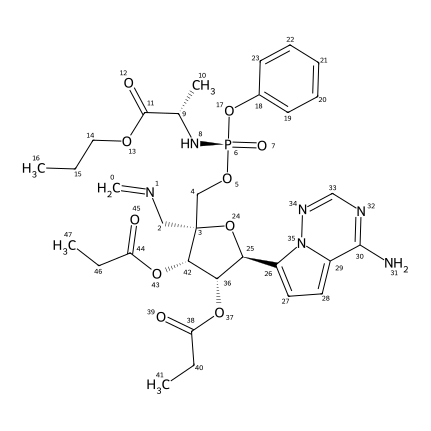 C=NC[C@]1(CO[P@](=O)(N[C@@H](C)C(=O)OCCC)Oc2ccccc2)O[C@@H](c2ccc3c(N)ncnn23)[C@H](OC(=O)CC)[C@@H]1OC(=O)CC